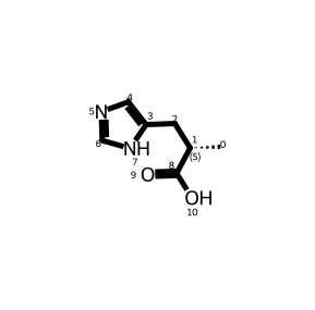 C[C@@H](Cc1cnc[nH]1)C(=O)O